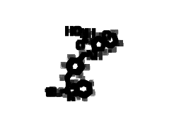 CC(C)(C)c1nc2ccccc2n1Cc1ccc(CNC2C[C@@]3(CCCO3)C[C@H]2C(=O)NO)cc1